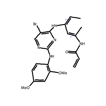 C=CC(=O)N/C(C)=C/C(=C\C)Nc1nc(Nc2ccc(OC)cc2OC)ncc1Br